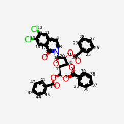 O=C(OC[C@H]1O[C@@H](n2ccc3cc(Cl)c(Cl)cc3c2=O)[C@H](OC(=O)c2ccccc2)[C@H]1OC(=O)c1ccccc1)c1ccccc1